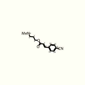 CNCCCOC(=O)/C=C/c1ccc(C#N)cc1